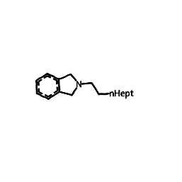 CCCCCCCCCN1Cc2ccccc2C1